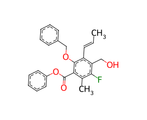 C/C=C/c1c(CO)c(F)c(C)c(C(=O)Oc2ccccc2)c1OCc1ccccc1